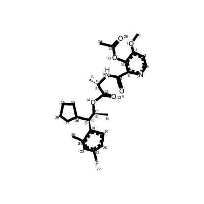 COc1ccnc(C(=O)N[C@@H](C)C(=O)O[C@@H](C)[C@@H](c2ccc(F)cc2C)C2CCCC2)c1OC(C)=O